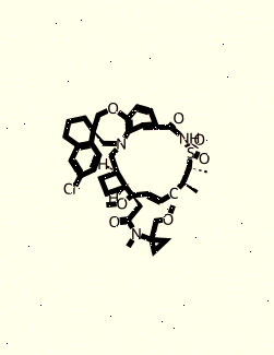 COCC1(N(C)C(=O)C[C@]2(OC)/C=C/C[C@H](C)[C@@H](C)S(=O)(=O)NC(=O)c3ccc4c(c3)N(C[C@@H]3CC[C@H]32)C[C@@]2(CCCc3cc(Cl)ccc32)CO4)CC1